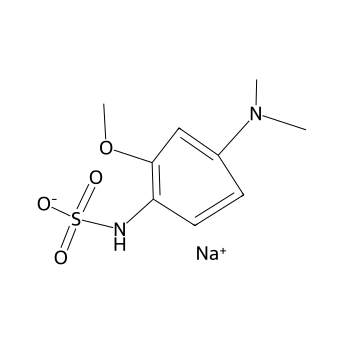 COc1cc(N(C)C)ccc1NS(=O)(=O)[O-].[Na+]